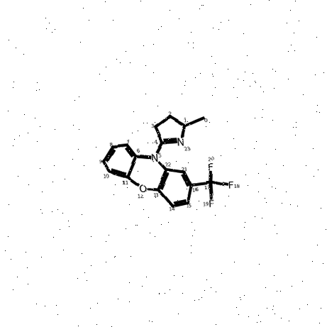 CC1CCC(N2c3ccccc3Oc3ccc(C(F)(F)F)cc32)=N1